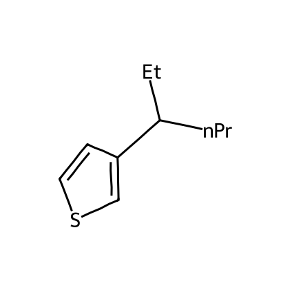 CCCC(CC)c1ccsc1